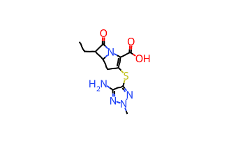 CCC1C(=O)N2C(C(=O)O)=C(Sc3nn(C)nc3N)CC12